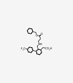 O=C(O)Cc1cccc(-c2ccc(C(F)(F)F)cc2)c1CNCCC(=O)OCc1ccccc1